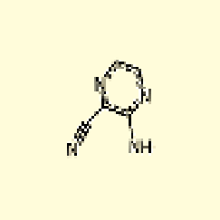 N#Cc1nccnc1[NH]